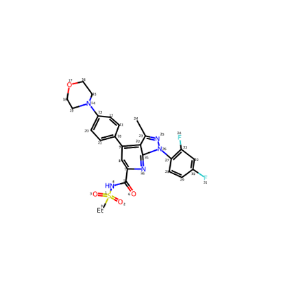 CCS(=O)(=O)NC(=O)c1cc(-c2ccc(N3CCOCC3)cc2)c2c(C)nn(-c3ccc(F)cc3F)c2n1